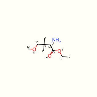 CCOC(=O)[C@@H](N)C(C)(C)COC